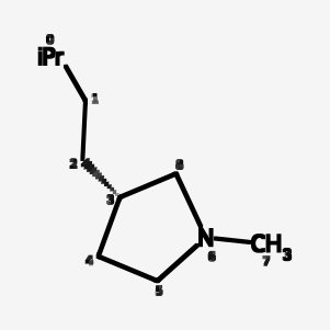 CC(C)CC[C@H]1CCN(C)C1